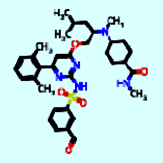 CNC(=O)[C@H]1CC[C@H](N(C)[C@@H](COc2cc(-c3c(C)cccc3C)nc(NS(=O)(=O)c3cccc(C=O)c3)n2)CC(C)C)CC1